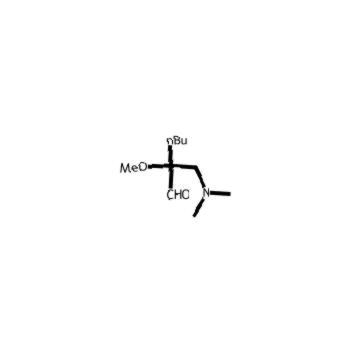 CCCCC(C=O)(CN(C)C)OC